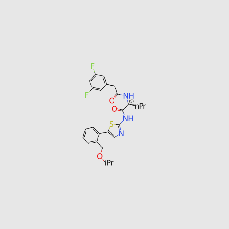 CCC[C@H](NC(=O)Cc1cc(F)cc(F)c1)C(=O)Nc1ncc(-c2ccccc2COC(C)C)s1